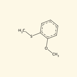 [CH2]Sc1ccccc1OC